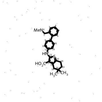 CNCc1ccccc1-c1ccc(Nc2sc3c(c2C(=O)O)CC(C)(C)CC3)cc1